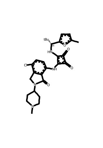 Cc1ccc([C@H](Nc2c(Nc3ccc(Cl)c4c3C(=O)N(C3CCN(C)CC3)C4)c(=O)c2=O)C(C)(C)C)o1